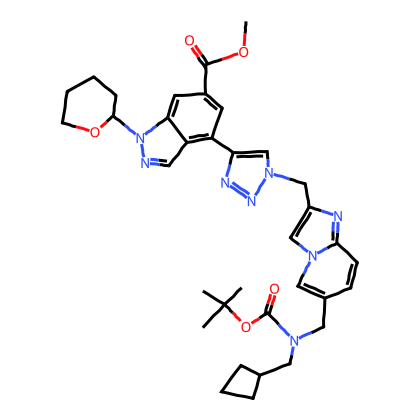 COC(=O)c1cc(-c2cn(Cc3cn4cc(CN(CC5CCC5)C(=O)OC(C)(C)C)ccc4n3)nn2)c2cnn(C3CCCCO3)c2c1